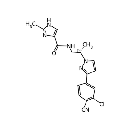 Cc1nc(C(=O)NC[C@H](C)n2ccc(-c3ccc(C#N)c(Cl)c3)n2)c[nH]1